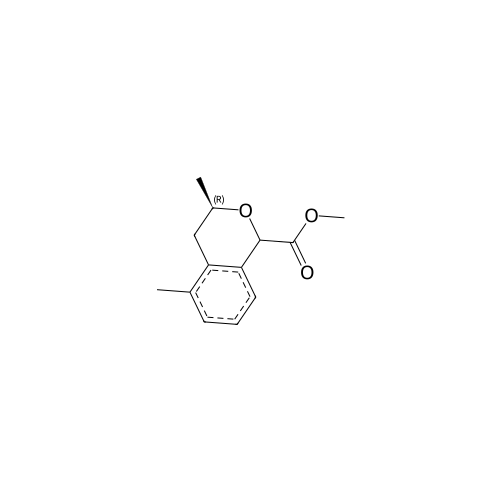 COC(=O)C1O[C@H](C)Cc2c(C)cccc21